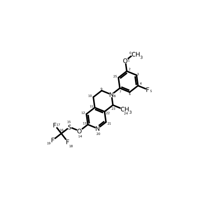 COc1cc(F)cc(N2CCc3cc(OSC(F)(F)F)ncc3C2C)c1